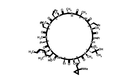 C/C=C/C[C@@H](C)[C@@H](O)C1C(=O)N[C@H](CC)C(=O)N(C)[C@H](SCC2(NC)CC2)C(=O)N(C)[C@@H](CC(C)(C)O)C(=O)N[C@H](C(C)C)C(=O)N(C)[C@H](CC(C)C)C(=O)N[C@H](C)C(=O)N[C@@H](C)C(=O)N(C)[C@H](CC(C)C)C(=O)N(C)[C@H](CC(C)C)C(=O)N(C)[C@H](C(C)C)C(=O)N1C